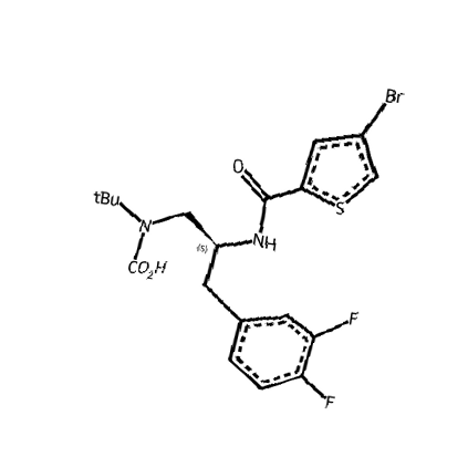 CC(C)(C)N(C[C@H](Cc1ccc(F)c(F)c1)NC(=O)c1cc(Br)cs1)C(=O)O